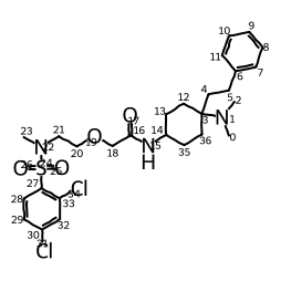 CN(C)C1(CCc2ccccc2)CCC(NC(=O)COCCN(C)S(=O)(=O)c2ccc(Cl)cc2Cl)CC1